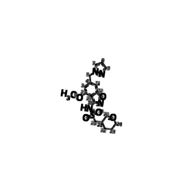 COc1cc(Cn2cccn2)cc2onc(NS(=O)(=O)CC3CCCOC3)c12